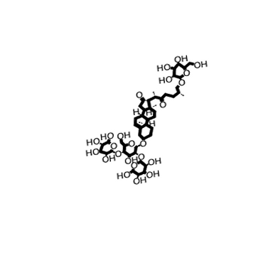 C[C@H](CCC(=O)[C@@H](C)[C@H]1C(=O)C[C@H]2[C@@H]3CC=C4CC(O[C@@H]5OC(CO)[C@@H](O[C@@H]6OC(O)[C@H](O)C(O)[C@@H]6O)C(O)[C@@H]5O[C@@H]5OC(O)[C@H](O)C(O)[C@@H]5O)CC[C@]4(C)[C@H]3CC[C@]12C)CO[C@@H]1OC(CO)[C@@H](O)C(O)[C@@H]1O